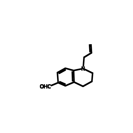 C=CCN1CCCc2cc(C=O)ccc21